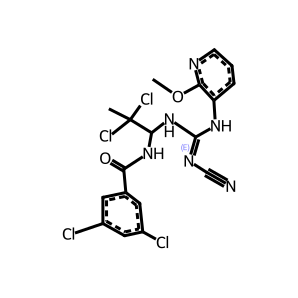 COc1ncccc1N/C(=N\C#N)NC(NC(=O)c1cc(Cl)cc(Cl)c1)C(C)(Cl)Cl